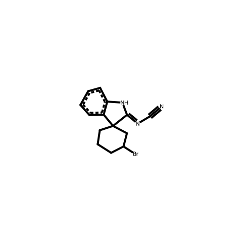 N#CN=C1Nc2ccccc2C12CCCC(Br)C2